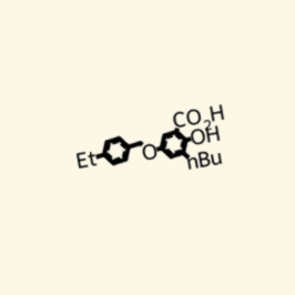 CCCCc1cc(OCc2ccc(CC)cc2)cc(C(=O)O)c1O